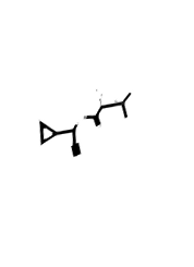 C#CC(OC(=O)[C@@H](N)C(C)C)C1CC1